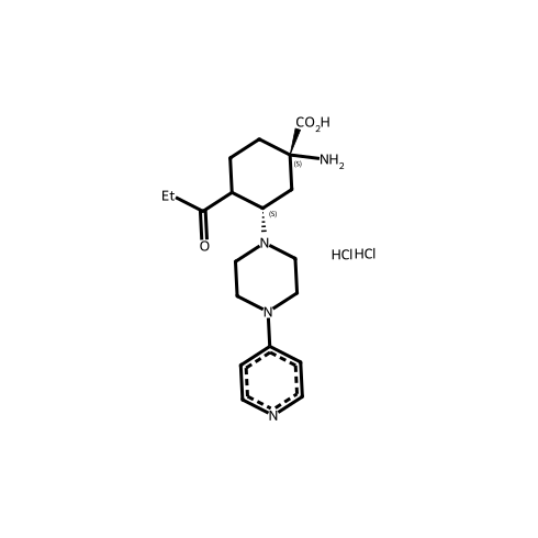 CCC(=O)C1CC[C@@](N)(C(=O)O)C[C@@H]1N1CCN(c2ccncc2)CC1.Cl.Cl